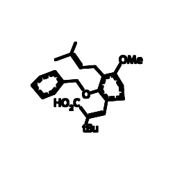 COc1ccc(/C=C(\C(=O)O)C(C)(C)C)c(OCc2ccccc2)c1CC=C(C)C